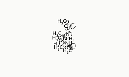 COC(=O)[C@@H]1CCCCN1C(=O)[C@@H]1CCCN1C[C@H](C(C)C)N(C)C(=O)[C@@H](NC(=O)[C@H]1CCCCN1C)C(C)(C)C